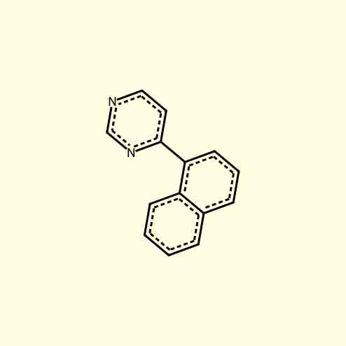 c1ccc2c(-c3ccncn3)cccc2c1